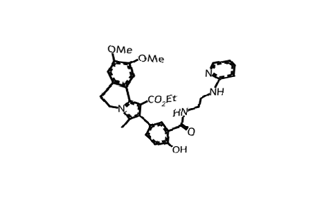 CCOC(=O)c1c(-c2ccc(O)c(C(=O)NCCNc3ccccn3)c2)c(C)n2c1-c1cc(OC)c(OC)cc1CC2